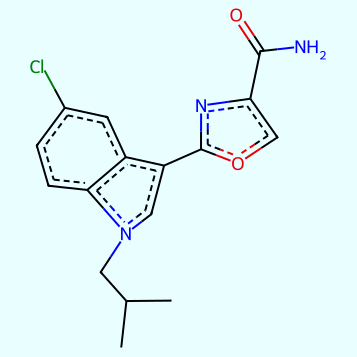 CC(C)Cn1cc(-c2nc(C(N)=O)co2)c2cc(Cl)ccc21